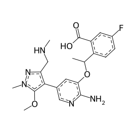 CNCc1nn(C)c(OC)c1-c1cnc(N)c(OC(C)c2ccc(F)cc2C(=O)O)c1